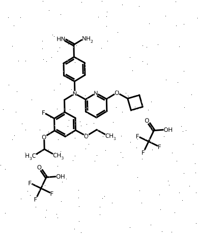 CCOc1cc(CN(c2ccc(C(=N)N)cc2)c2cccc(OC3CCC3)n2)c(F)c(OC(C)C)c1.O=C(O)C(F)(F)F.O=C(O)C(F)(F)F